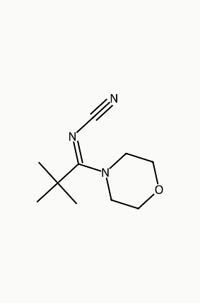 CC(C)(C)/C(=N/C#N)N1CCOCC1